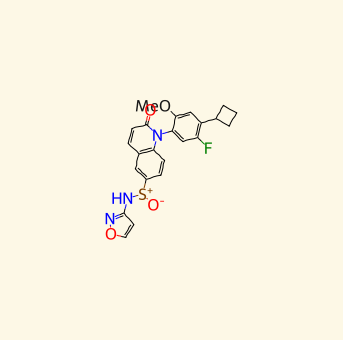 COc1cc(C2CCC2)c(F)cc1-n1c(=O)ccc2cc([S+]([O-])Nc3ccon3)ccc21